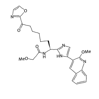 COCC(=O)N[C@@H](CCCCCC(=O)c1ncco1)c1ncc(-c2cc3ccccc3nc2OC)[nH]1